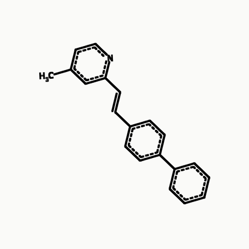 Cc1ccnc(C=Cc2ccc(-c3ccccc3)cc2)c1